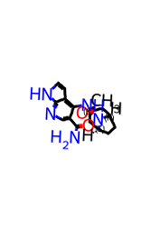 CC(=O)N1[C@@H]2CC[C@H]1C[C@H](Nc1c(C(N)=O)cnc3[nH]ccc13)C2